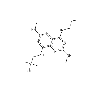 CCCNc1nc(NC)nc2c(NCC(C)(C)O)nc(NC)nc12